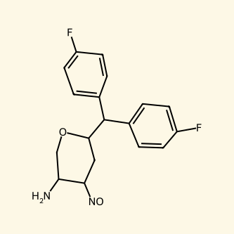 NC1COC(C(c2ccc(F)cc2)c2ccc(F)cc2)CC1N=O